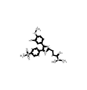 COc1ccc(-c2nc(CCC(=O)N(C)O)oc2-c2ccc(S(N)(=O)=O)cc2)cc1F